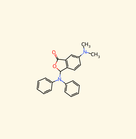 CN(C)c1ccc2c(c1)C(=O)OC2N(c1ccccc1)c1ccccc1